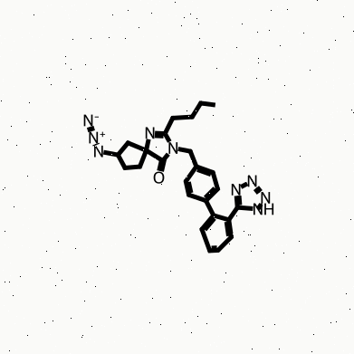 CCCCC1=NC2(CCC(N=[N+]=[N-])C2)C(=O)N1Cc1ccc(-c2ccccc2-c2nnn[nH]2)cc1